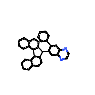 c1ccc(-c2cc3nccnc3cc2C2c3ccc4ccccc4c3-c3c2ccc2ccccc32)cc1